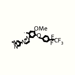 [CH2]c1cc(OC)c(OCc2ccc(C(F)(F)C(F)(F)F)cc2)cc1N1C=CN(c2cnn(C)c2)C1